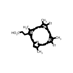 CCC1=C(C)c2cc3[nH]c(cc4nc(cc5[nH]c(cc1n2)c(C)c5CC)C(C)=C4)c(CCC(=O)O)c3C